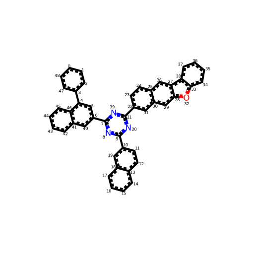 c1ccc(-c2cc(-c3nc(-c4ccc5ccccc5c4)nc(-c4ccc5cc6c(cc5c4)oc4ccccc46)n3)cc3ccccc23)cc1